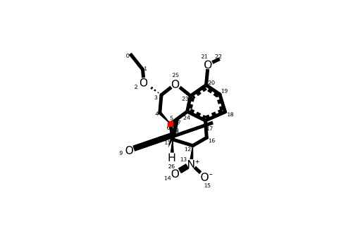 CCO[C@H]1C[C@]23C=CC(=O)C[C@H]2[C@H]([N+](=O)[O-])Cc2ccc(OC)c(c23)O1